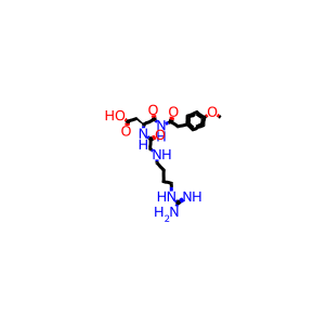 COc1ccc(CC(=O)NC(=O)[C@H](CC(=O)O)NC(=O)CNCCCCNC(=N)N)cc1